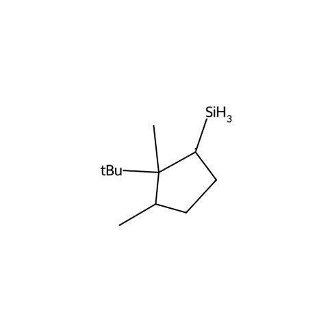 CC1CC[C]([SiH3])C1(C)C(C)(C)C